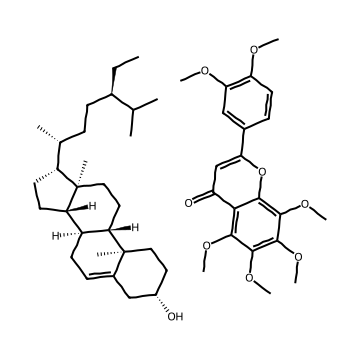 CC[C@H](CC[C@@H](C)[C@H]1CC[C@H]2[C@@H]3CC=C4C[C@@H](O)CC[C@]4(C)[C@H]3CC[C@]12C)C(C)C.COc1ccc(-c2cc(=O)c3c(OC)c(OC)c(OC)c(OC)c3o2)cc1OC